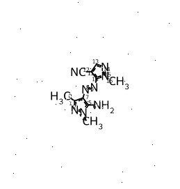 Cc1nn(C)c(N)c1N=Nc1c(C#N)cnn1C